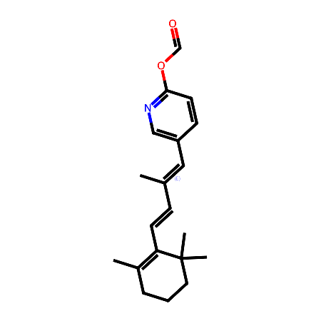 CC1=C(C=C/C(C)=C/c2ccc(OC=O)nc2)C(C)(C)CCC1